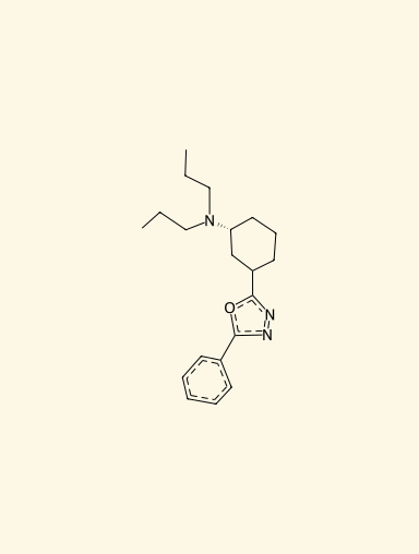 CCCN(CCC)[C@@H]1CCCC(c2nnc(-c3ccccc3)o2)C1